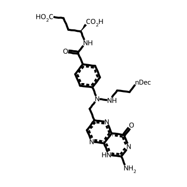 CCCCCCCCCCCCNN(Cc1cnc2[nH]c(N)nc(=O)c2n1)c1ccc(C(=O)N[C@@H](CCC(=O)O)C(=O)O)cc1